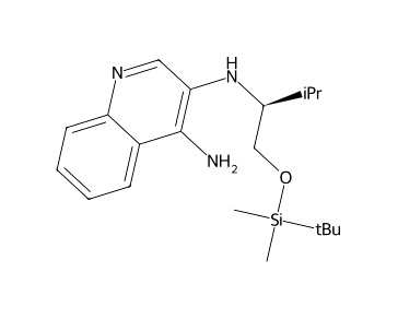 CC(C)[C@@H](CO[Si](C)(C)C(C)(C)C)Nc1cnc2ccccc2c1N